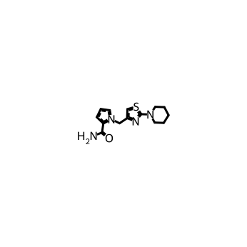 NC(=O)c1cccn1Cc1csc(N2CCCCC2)n1